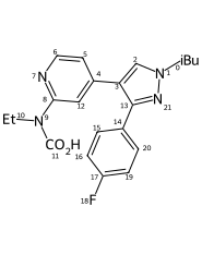 CCC(C)n1cc(-c2ccnc(N(CC)C(=O)O)c2)c(-c2ccc(F)cc2)n1